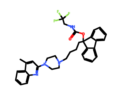 Cc1cc(N2CCN(CCCCC3(OC(=O)NCC(F)(F)F)c4ccccc4-c4ccccc43)CC2)nc2ccccc12